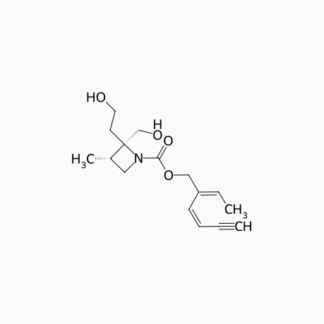 C#C/C=C\C(=C/C)COC(=O)N1C[C@H](C)[C@@]1(CO)CCO